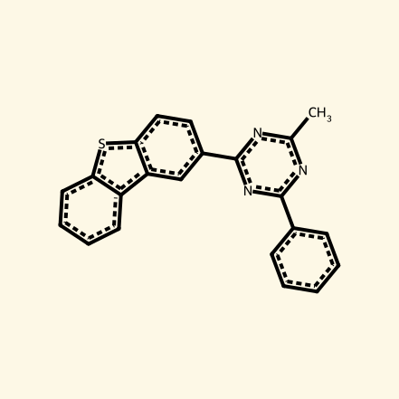 Cc1nc(-c2ccccc2)nc(-c2ccc3sc4ccccc4c3c2)n1